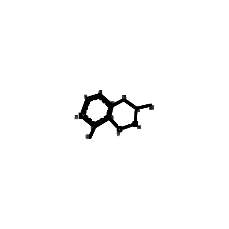 Cc1nccc2c1OOC(C)C2